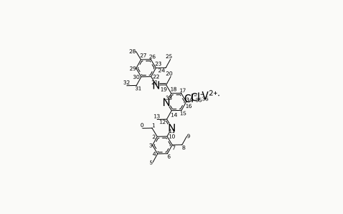 CCc1cc(C)cc(CC)c1N=C(C)c1cccc(C(C)=Nc2c(CC)cc(C)cc2CC)n1.[Cl-].[Cl-].[V+2]